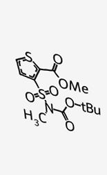 COC(=O)c1sccc1S(=O)(=O)N(C)C(=O)OC(C)(C)C